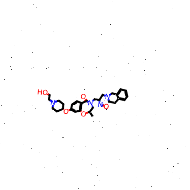 CC1CN(CC(CN2CCc3ccccc3C2)N=O)C(=O)c2ccc(OC3CCN(CCO)CC3)cc2O1